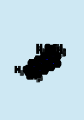 CC1(C)CCC(C)(C)c2cc(N(c3ccccc3)c3cc4c5c(c3)N(c3ccccc3)c3cc6c(cc3B5c3ccccc3N4c3ccccc3)B3c4ccccc4N(c4ccccc4)c4cc(N(c5ccccc5)c5ccc7c(c5)C(C)(C)CCC7(C)C)cc(c43)N6c3ccccc3)ccc21